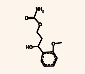 COc1ccccc1C(O)CCOC(N)=O